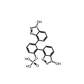 O=P(O)(O)Oc1cccc(-c2cccc3c2nnn3O)c1-c1cccc2c1nnn2O